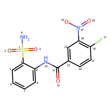 NS(=O)(=O)c1ccccc1NC(=O)c1ccc(F)c([N+](=O)[O-])c1